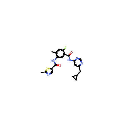 Cc1ncc(C(=O)Nc2cc(C(=O)Nc3cc(CC4CC4)ncn3)c(F)cc2C)s1